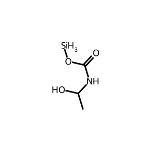 CC(O)NC(=O)O[SiH3]